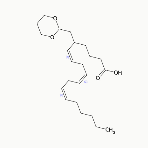 CCCCC/C=C\C/C=C\C/C=C\C(CCCC(=O)O)CC1OCCCO1